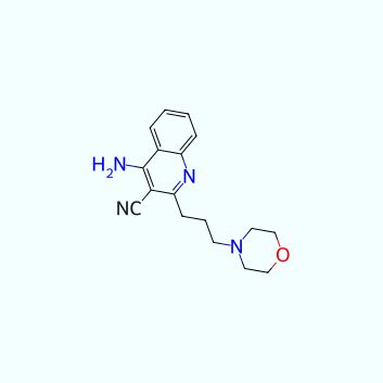 N#Cc1c(CCCN2CCOCC2)nc2ccccc2c1N